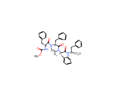 CN(C(=O)[C@H](Cc1ccccc1)NC(=O)OC(C)(C)C)[C@@H](Cc1ccccc1)C(=O)N(C)[C@@H](Cc1ccccc1)C(=O)N[C@@H](Cc1ccccc1)C(=O)O